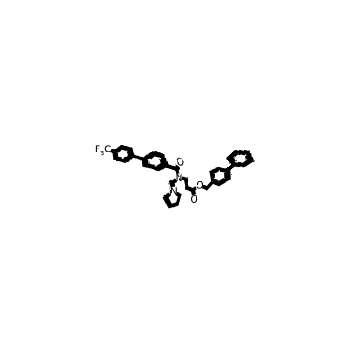 O=C(CCN(CN1CCCC1)C(=O)c1ccc(-c2ccc(C(F)(F)F)cc2)cc1)OCc1ccc(-c2ccccc2)cc1